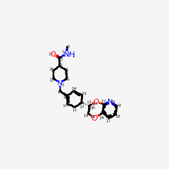 CNC(=O)C1CCN(CC2=CCC([C@H]3COc4cccnc4O3)C=C2)CC1